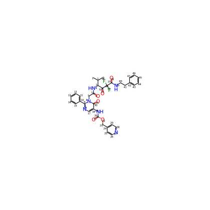 CC(C)C(NC(=O)Cn1c(-c2ccccc2)ncc(NC(=O)OCc2ccncc2)c1=O)C(=O)C(F)(F)C(=O)NCCc1ccccc1